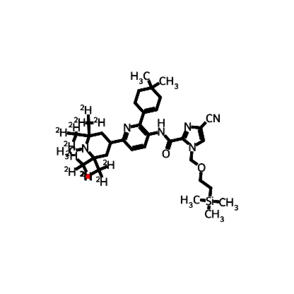 [2H]C([2H])([2H])C1(C([2H])([2H])[2H])CC(c2ccc(NC(=O)c3nc(C#N)cn3COCC[Si](C)(C)C)c(C3=CCC(C)(C)CC3)n2)CC(C([2H])([2H])[2H])(C([2H])([2H])[2H])N1C